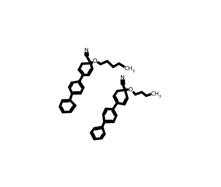 CCCCCOC1(C#N)C=CC(c2ccc(-c3ccccc3)cc2)=CC1.CCCCOC1(C#N)C=CC(c2ccc(-c3ccccc3)cc2)=CC1